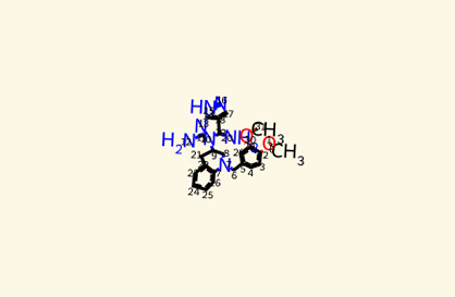 COc1ccc(CN2CC(N3C(N)=Nc4[nH]ncc4C3N)Cc3ccccc32)cc1OC